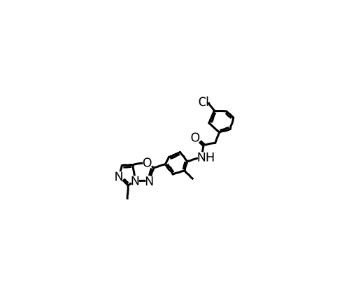 Cc1cc(-c2nn3c(C)ncc3o2)ccc1NC(=O)Cc1cccc(Cl)c1